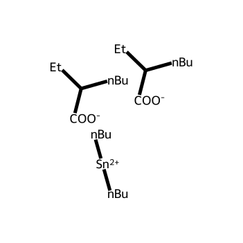 CCCCC(CC)C(=O)[O-].CCCCC(CC)C(=O)[O-].CCC[CH2][Sn+2][CH2]CCC